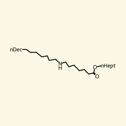 CCCCCCCCCCCCCCCCCNCCCCCCC(=O)OCCCCCCC